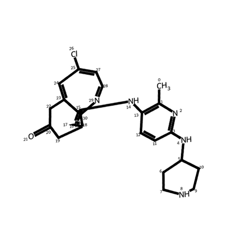 Cc1nc(NC2CCNCC2)ccc1NC1=NC=C2CC(=O)CC3=CC(Cl)=CC=NC23N1